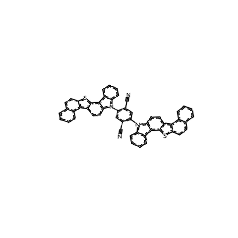 N#Cc1cc(-n2c3ccccc3c3c4sc5ccc6ccccc6c5c4ccc32)c(C#N)cc1-n1c2ccccc2c2c3sc4ccc5ccccc5c4c3ccc21